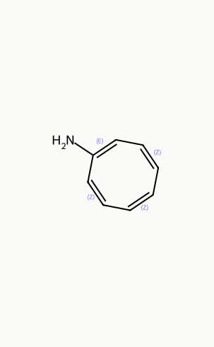 NC1=C/C=C\C=C/C=C\1